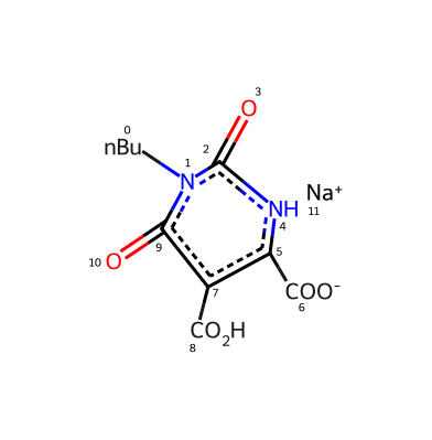 CCCCn1c(=O)[nH]c(C(=O)[O-])c(C(=O)O)c1=O.[Na+]